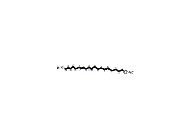 CC(=O)OCCCCCCCCC/C=C/CCCCCCCCCOC(C)=O